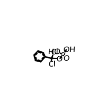 O=P(O)(O)OC(Cl)(Cl)c1ccccc1